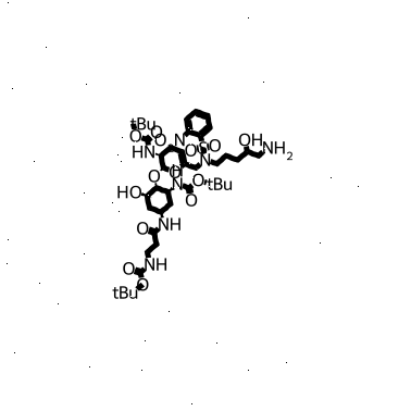 CC(C)(C)OC(=O)NCCC(=O)N[C@H]1C[C@@H](O)[C@H](O[C@H]2OC(CN(CCCC(O)CN)S(=O)(=O)c3ccccc3[N+](=O)[O-])=CC[C@H]2NC(=O)OC(C)(C)C)[C@@H](NC(=O)OC(C)(C)C)C1